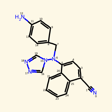 N#Cc1ccc(N(Cc2ccc(N)cc2)n2cnnc2)c2ccccc12